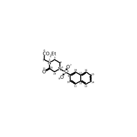 CCOC(=O)CN1CCN(S(=O)(=O)c2ccc3ccccc3c2)CC1=O